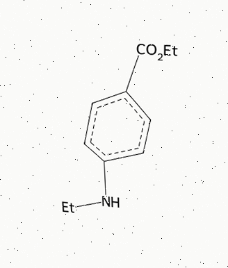 CCNc1ccc(C(=O)OCC)cc1